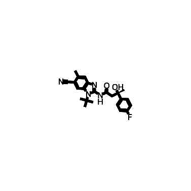 Cc1cc2nc(NC(=O)C[C@](C)(O)c3ccc(F)cc3)n(C(C)(C)C)c2cc1C#N